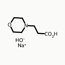 O=C(O)CCN1CCOCC1.[Na+].[OH-]